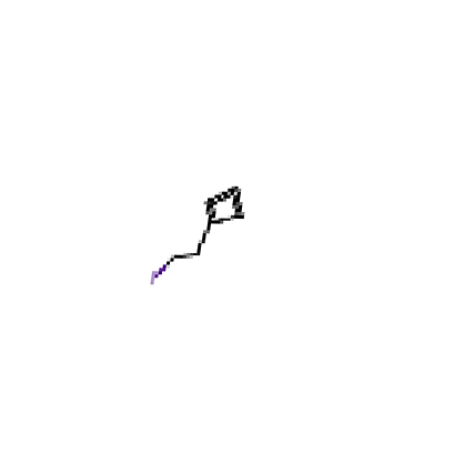 ICCC1=C=C=C1